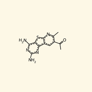 CC(=O)c1cc2c(nc1C)sc1c(N)nc(N)nc12